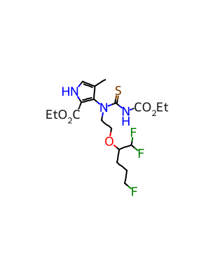 CCOC(=O)NC(=S)N(CCOC(CCCF)C(F)F)c1c(C)c[nH]c1C(=O)OCC